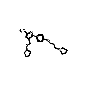 Cc1cc(COC2CCCC2)n(-c2ccc(OCCCN3CCCC3)cc2)n1